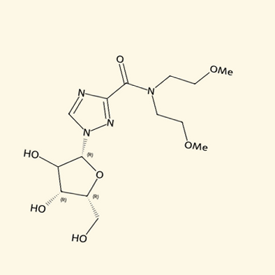 COCCN(CCOC)C(=O)c1ncn([C@@H]2O[C@H](CO)[C@H](O)C2O)n1